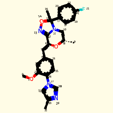 COc1cc(/C=C2\O[C@@H](C)CN3C2=NOC3(C)c2ccc(F)cc2)ccc1-n1cnc(C)c1